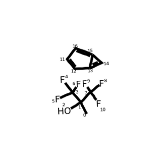 CC(O)(C(F)(F)F)C(F)(F)F.c1cc2cc-2c1